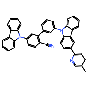 CC1C=NC(c2ccc3c(c2)c2ccccc2n3-c2cccc(-c3cc(-n4c5ccccc5c5ccccc54)ccc3C#N)c2)=CC1